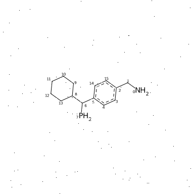 NCc1ccc(C(P)[C]2CCCCC2)cc1